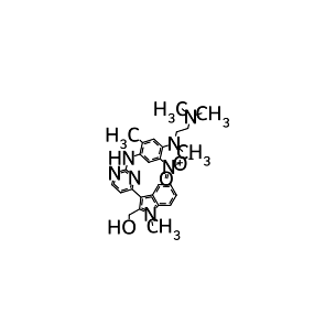 Cc1cc(N(C)CCN(C)C)c([N+](=O)[O-])cc1Nc1nccc(-c2c(CO)n(C)c3ccccc23)n1